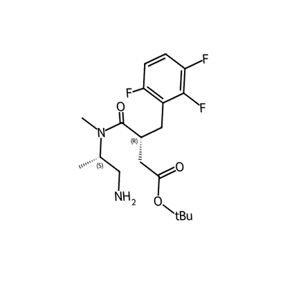 C[C@@H](CN)N(C)C(=O)[C@@H](CC(=O)OC(C)(C)C)Cc1c(F)ccc(F)c1F